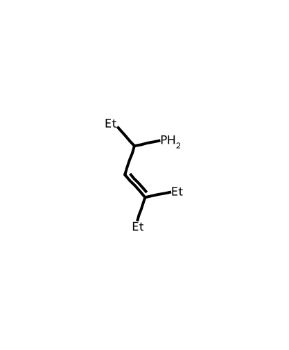 CCC(=CC(P)CC)CC